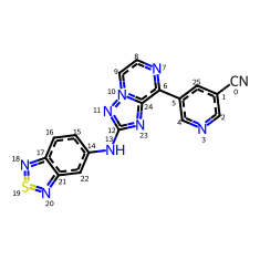 N#Cc1cncc(-c2nccn3nc(Nc4ccc5nsnc5c4)nc23)c1